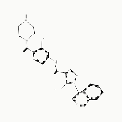 CN1CCN(C(=O)c2ncc(NC(=O)c3cnn(-c4cncc5ccccc45)c3C(F)(F)F)cc2C#N)CC1